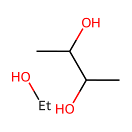 CC(O)C(C)O.CCO